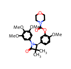 COc1ccc([C@@H]2N(c3cc(OC)c(OC)c(OC)c3)C(=O)C2(C)C)cc1OC(=O)N1CCOCC1